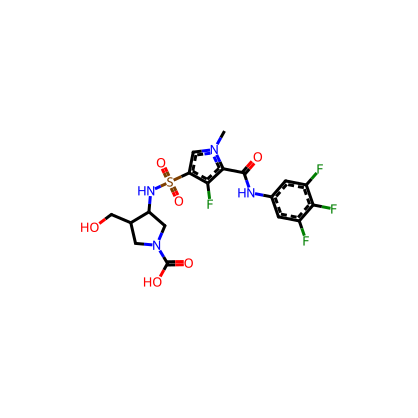 Cn1cc(S(=O)(=O)NC2CN(C(=O)O)CC2CO)c(F)c1C(=O)Nc1cc(F)c(F)c(F)c1